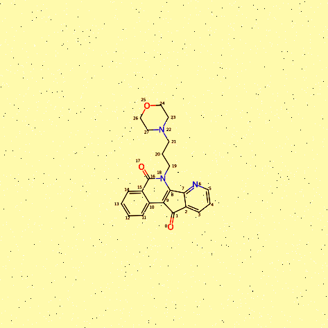 O=C1c2cccnc2-c2c1c1ccccc1c(=O)n2CCCN1CCOCC1